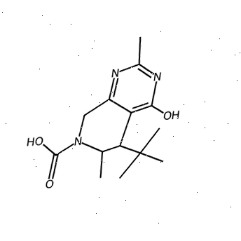 Cc1nc(O)c2c(n1)CN(C(=O)O)C(C)C2C(C)(C)C